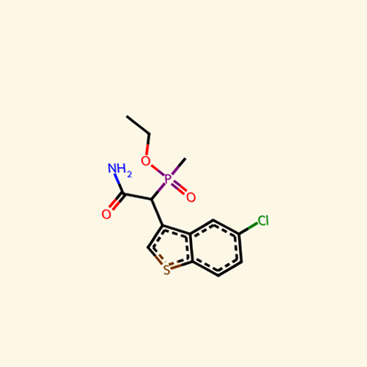 CCOP(C)(=O)C(C(N)=O)c1csc2ccc(Cl)cc12